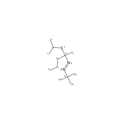 [CH2]C(C)SC(C)(CCC)N=NC(C)(C)C